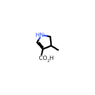 CC1CNC=C1C(=O)O